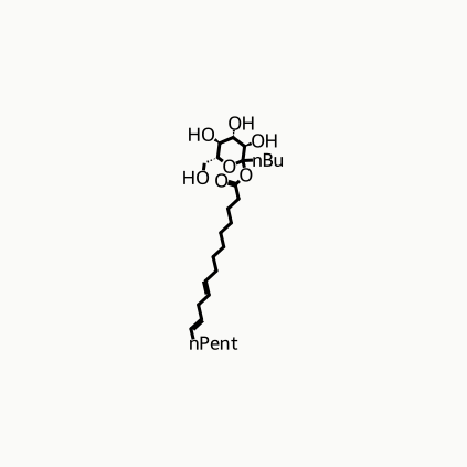 CCCCCC=CCC=CCCCCCCCC(=O)OC1(CCCC)O[C@H](CO)[C@@H](O)[C@H](O)[C@H]1O